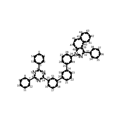 c1ccc(-c2nc(-c3ccccc3)nc(-c3cccc(-c4cccc(-c5cccc(-n6nc(-c7ccccc7)c7c8ccccc8ccc76)c5)c4)c3)n2)cc1